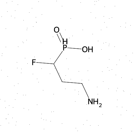 NCCC(F)[PH](=O)O